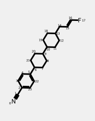 N#Cc1ccc(C2CCC(C3CCC(CC=CF)CC3)CC2)cc1